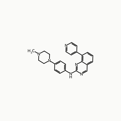 CN1CCN(c2ccc(Nc3ncc4cccc(-c5ccncc5)c4n3)cc2)CC1